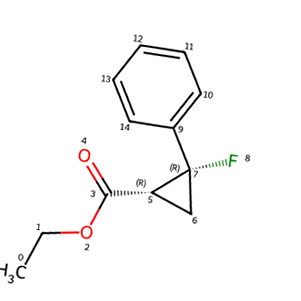 CCOC(=O)[C@H]1C[C@]1(F)c1ccccc1